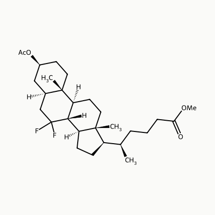 COC(=O)CCC[C@@H](C)[C@H]1CC[C@H]2[C@H]3[C@H](CC[C@]12C)[C@@]1(C)CC[C@H](OC(C)=O)C[C@@H]1CC3(F)F